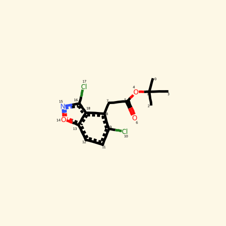 CC(C)(C)OC(=O)Cc1c(Cl)ccc2onc(Cl)c12